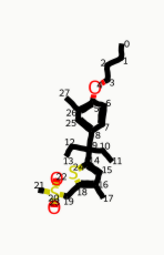 CCCCOc1ccc(C(CC)(CC)c2cc(C)c(CS(C)(=O)=O)s2)cc1C